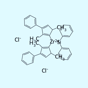 CC1=[C]([Zr+2]([C]2=C(C)C(c3ccccc3)=CC2C)=[Si](c2ccccc2)c2ccccc2)C(C)C=C1c1ccccc1.[Cl-].[Cl-]